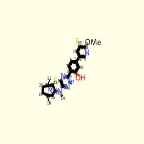 COc1ncc(-c2ccc(-c3ncc(N(C)[C@H]4C[C@]5(C)CC[C@@](C)(N5)[C@H]4F)nn3)c(O)c2)cc1F